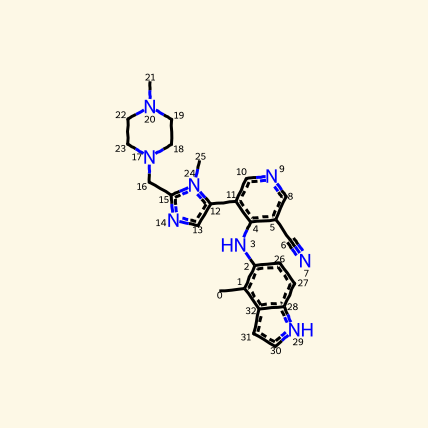 Cc1c(Nc2c(C#N)cncc2-c2cnc(CN3CCN(C)CC3)n2C)ccc2[nH]ccc12